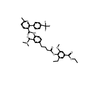 CCOC(=O)c1cc(CC)c(OC(=O)CCCc2ccc(NC(=O)c3ccc(C)nc3-c3ccc(C(F)(F)F)cc3)c(C(=O)N(C)C)c2)c(OC)c1